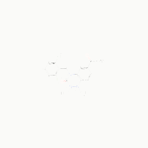 COC(=O)c1ccc2c(c1)N(Cc1c(F)cccc1Cl)C(=O)N(C)N2C